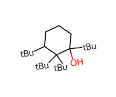 CC(C)(C)C1CCCC(O)(C(C)(C)C)C1(C(C)(C)C)C(C)(C)C